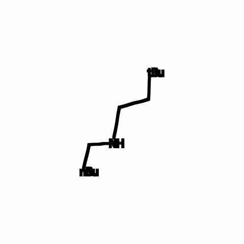 CCCCCNCCC(C)(C)C